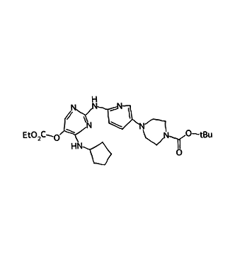 CCOC(=O)Oc1cnc(Nc2ccc(N3CCN(C(=O)OC(C)(C)C)CC3)cn2)nc1NC1CCCC1